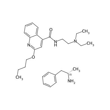 CCCCOc1cc(C(=O)NCCN(CC)CC)c2ccccc2n1.C[C@H](N)Cc1ccccc1